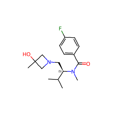 CC(C)[C@@H](CN1CC(C)(O)C1)N(C)C(=O)c1ccc(F)cc1